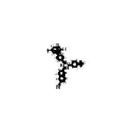 CC(C)(C)c1ccc(-c2nc(-c3ccc(C45C[C@H]6C[C@@H](C4)C[C@@H](C5)C6)cc3)nc(-c3ccc4cc(C#N)ccc4c3)n2)cc1